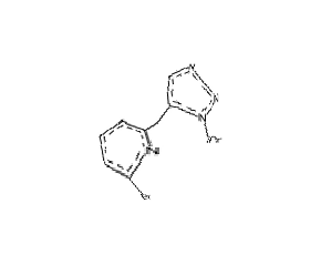 CC(C)n1nncc1-c1cccc(Br)n1